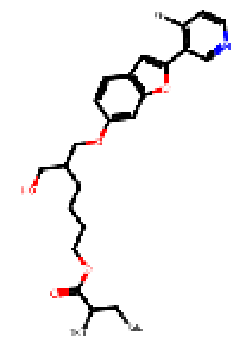 CCc1ccncc1-c1cc2ccc(OCC(CO)CCCCOC(=O)C(CC(C)(C)C)C(C)(C)C)cc2o1